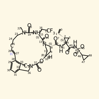 C=C[C@@H]1C[C@]1(NC(=O)[C@@H]1C[C@@H]2CN1C(=O)[C@H](CC(F)(F)F)NC(=O)N(C)CCC/C=C/c1cccc3c1CN(C3)C(=O)O2)C(=O)NS(=O)(=O)C1CC1